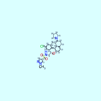 Cn1cc(S(=O)(=O)NCCOc2ccc3c(c2)C(Cc2cccc(Cl)c2)C(N2CCCC2)CC3)cn1